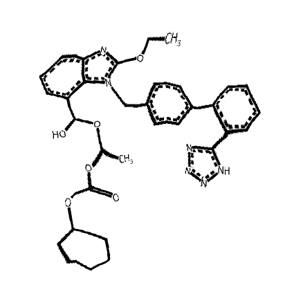 CCOc1nc2cccc(C(O)OC(C)OC(=O)OC3CCCCC3)c2n1Cc1ccc(-c2ccccc2-c2nnn[nH]2)cc1